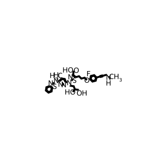 CNCC#Cc1ccc(OCCCc2sc(N(CCC(O)CO)c3cc(C)c(Nc4nc5ccccc5s4)nn3)nc2C(=O)O)c(F)c1